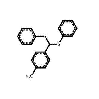 FC(F)(F)c1ccc(C(Sc2ccccc2)Sc2ccccc2)cc1